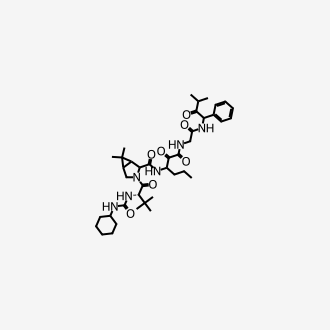 CCCC(NC(=O)C1C2C(CN1C(=O)[C@@H](NC(=O)NC1CCCCC1)C(C)(C)C)C2(C)C)C(=O)C(=O)NCC(=O)NC(C(=O)C(C)C)c1ccccc1